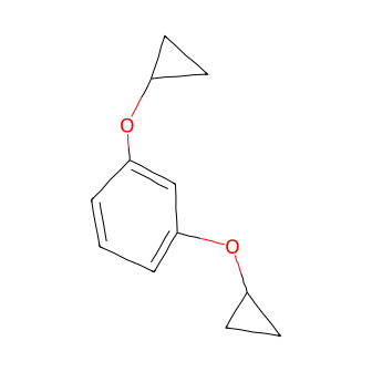 c1cc(OC2CC2)cc(OC2CC2)c1